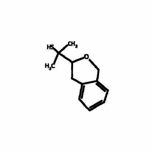 CC(C)(S)C1Cc2ccccc2CO1